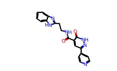 O=C(NCCc1nc2ccccc2[nH]1)c1cc(-c2ccncc2)n[nH]c1=O